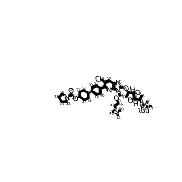 CC(C)(C)[Si](C)(C)O[C@@H]1CO[C@H]2[C@@H]1OC[C@H]2Oc1nc2cc(Cl)c(-c3ccc([C@H]4CC[C@H](OC(=O)N5CCCC5)CC4)cc3)nc2n1COCC[Si](C)(C)C